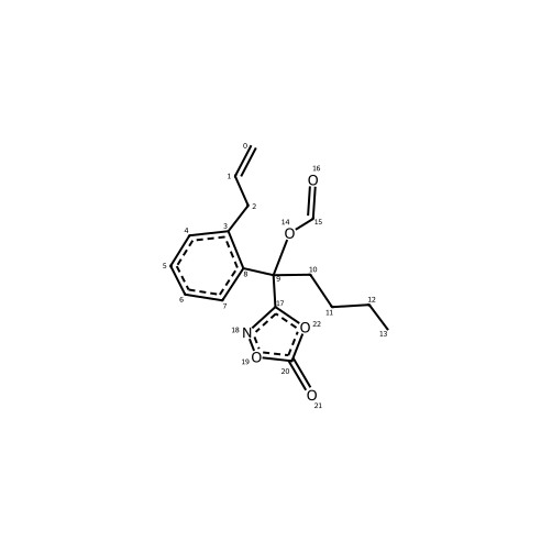 C=CCc1ccccc1C(CCCC)(OC=O)c1noc(=O)o1